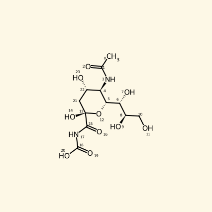 CC(=O)N[C@H]1[C@H]([C@H](O)[C@H](O)CO)O[C@](O)(C(=O)NC(=O)O)C[C@@H]1O